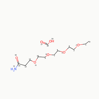 CCOCCOCCOCCOCCC(N)=O.O=CO